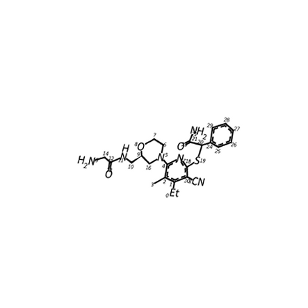 CCc1c(C)c(N2CCO[C@H](CNC(=O)CN)C2)nc(SC(C(N)=O)c2ccccc2)c1C#N